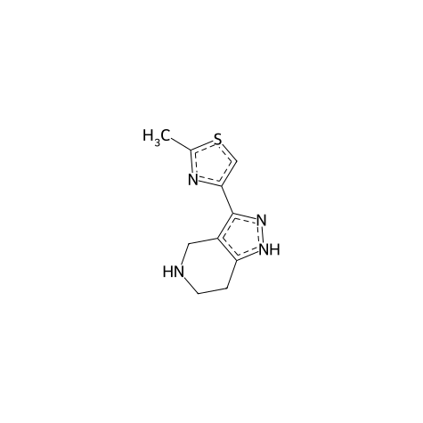 Cc1nc(-c2n[nH]c3c2CNCC3)cs1